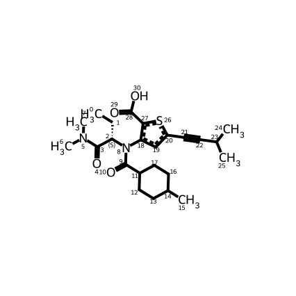 CC[C@@H](C(=O)N(C)C)N(C(=O)C1CCC(C)CC1)c1cc(C#CC(C)C)sc1C(=O)O